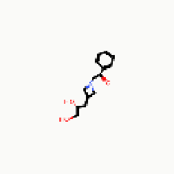 O=C(CN1CC(C[C@@H](O)CO)C1)c1ccccc1